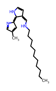 CCCCCCCCCCCNC=c1cc[nH]c1=C1C=C(C)C=N1